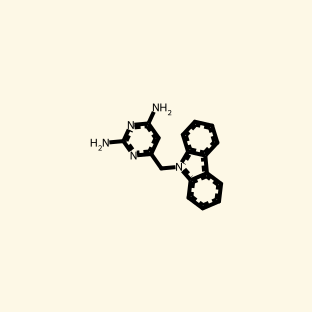 Nc1cc(Cn2c3ccccc3c3ccccc32)nc(N)n1